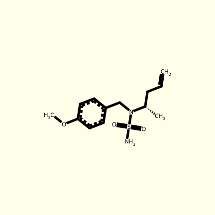 C=CC[C@H](C)N(Cc1ccc(OC)cc1)S(N)(=O)=O